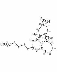 CCOC(=O)CCCCc1cc2c3c(c1)[C@@H]1CN(C(=O)O)CC[C@@H]1N3CCCS2